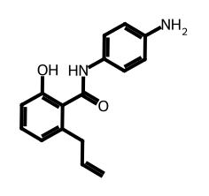 C=CCc1cccc(O)c1C(=O)Nc1ccc(N)cc1